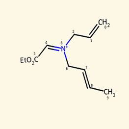 C=CC[N+](=CC(=O)OCC)CC=CC